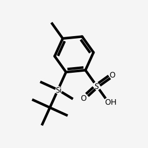 Cc1ccc(S(=O)(=O)O)c([Si](C)(C)C(C)(C)C)c1